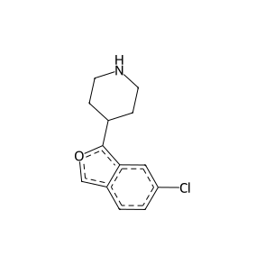 Clc1ccc2coc(C3CCNCC3)c2c1